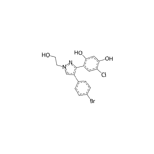 OCCn1cc(-c2ccc(Br)cc2)c(-c2cc(Cl)c(O)cc2O)n1